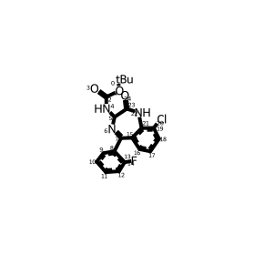 CC(C)(C)OC(=O)NC1N=C(c2ccccc2F)c2cccc(Cl)c2NC1=O